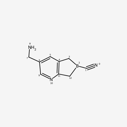 N#CB1Cc2cc(CN)cnc2C1